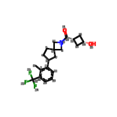 Cc1c(C2CCC3(C2)CN(C(=O)[C@H]2C[C@@H](O)C2)C3)cccc1C(F)(F)F